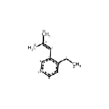 CCc1ccncc1C=C(C)C